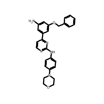 Nc1cc(OCc2ccccc2)cc(-c2ccnc(Nc3ccc(N4CCOCC4)cc3)n2)c1